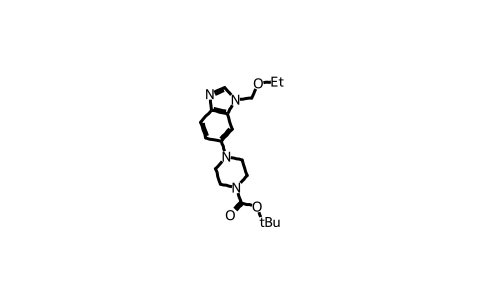 CCOCn1cnc2ccc(N3CCN(C(=O)OC(C)(C)C)CC3)cc21